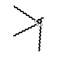 CCCCCCCCCCCCCCCOc1cc(CC)cc(OCCCCCCCCCCCCCCC)c1OCCCCCCCCCCCCCCC